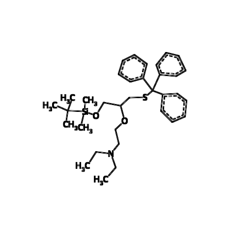 CCN(CC)CCOC(CO[Si](C)(C)C(C)(C)C)CSC(c1ccccc1)(c1ccccc1)c1ccccc1